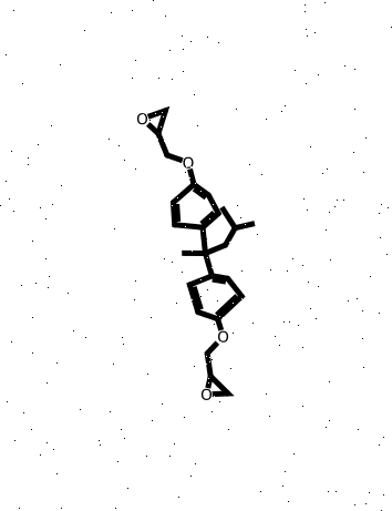 CC(C)CC(C)(c1ccc(OCC2CO2)cc1)c1ccc(OCC2CO2)cc1